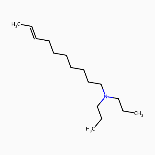 CC=CCCCCCCCN(CCC)CCC